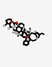 CCC1=C[C@@H]2CN(CCc3c([nH]c4ccccc34)[C@@](C(=O)OC)(c3cc4c(cc3OC)N(C)[C@H]3C(O)(COC(=O)c5ccccc5Cl)[C@H](OC(C)=O)[C@]5(CC)C=CCN6CC[C@]43[C@@H]65)C2)C1